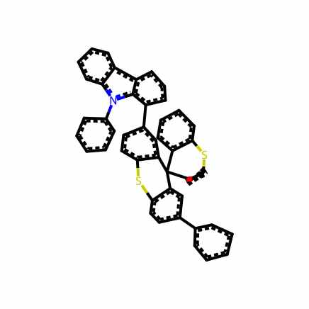 c1ccc(-c2ccc3c(c2)C2(c4ccccc4Sc4ccccc42)c2cc(-c4cccc5c6ccccc6n(-c6ccccc6)c45)ccc2S3)cc1